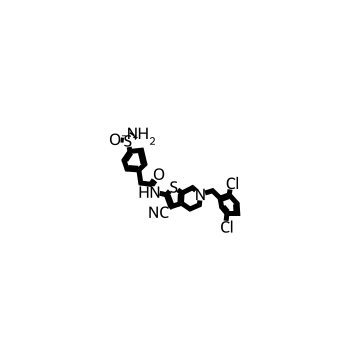 N#Cc1c(NC(=O)Cc2ccc([S+](N)[O-])cc2)sc2c1CCN(Cc1cc(Cl)ccc1Cl)C2